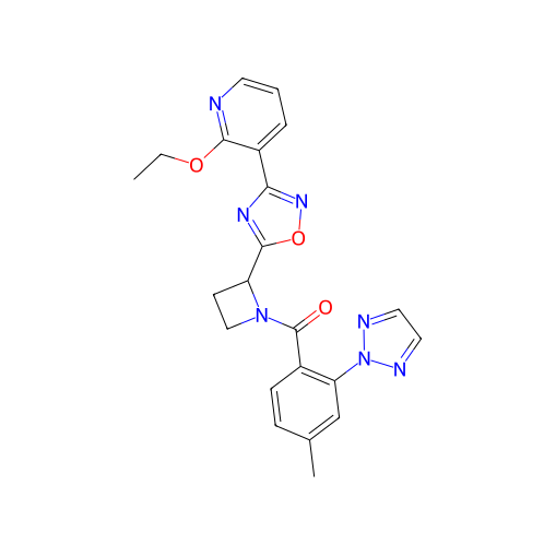 CCOc1ncccc1-c1noc(C2CCN2C(=O)c2ccc(C)cc2-n2nccn2)n1